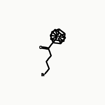 O=C(CCCBr)[C]12[CH]3[CH]4[CH]5[CH]1[Fe]45321678[CH]2[CH]1[CH]6[CH]7[CH]28